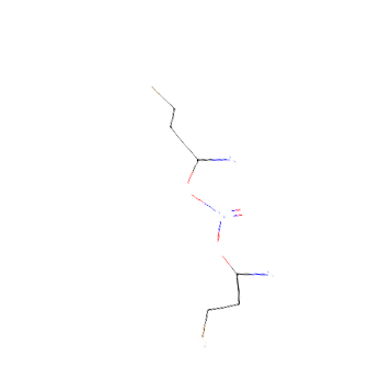 NC(CCS)O[N+](=O)OC(N)CCS